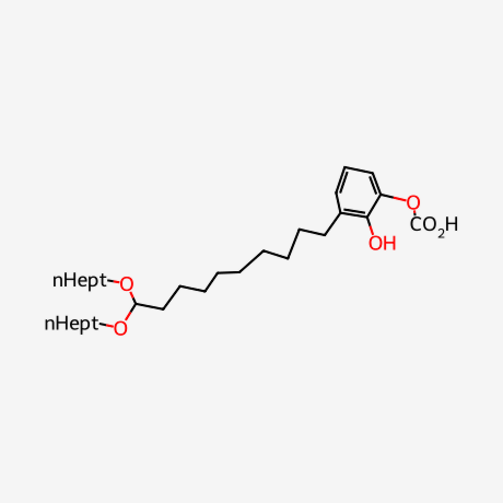 CCCCCCCOC(CCCCCCCCCc1cccc(OC(=O)O)c1O)OCCCCCCC